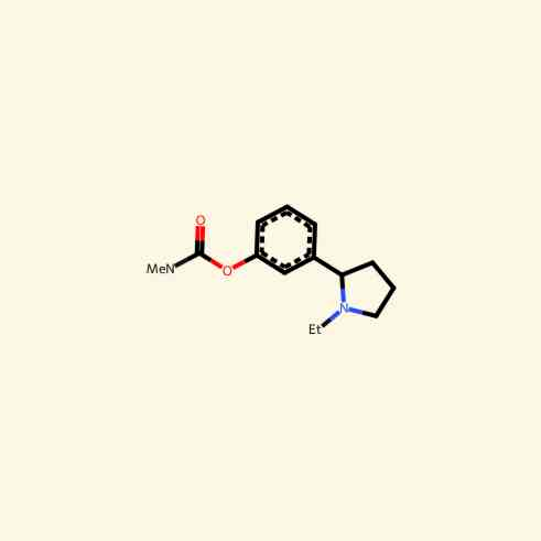 CCN1CCCC1c1cccc(OC(=O)NC)c1